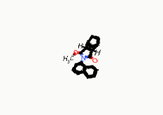 COC1[C@@H]2C3CCC(C3)[C@@H]2C(=O)N1c1cccc2ccccc12